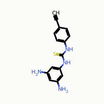 C#Cc1ccc(NC(=S)Nc2cc(N)cc(N)c2)cc1